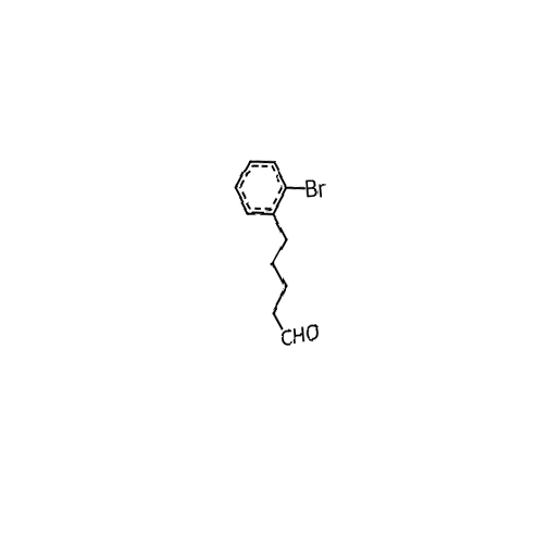 O=CCCCCc1ccccc1Br